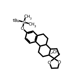 CC(C)(C)[Si](C)(C)Oc1ccc2c(c1)CCC1C2CC[C@@]2(C)C1CCC21OCCO1